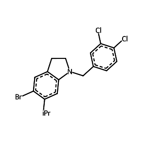 CC(C)c1cc2c(cc1Br)CCN2Cc1ccc(Cl)c(Cl)c1